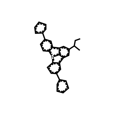 CCC(C)c1cc2c3cc(-c4ccccc4)ccc3n3c4ccc(-c5ccccc5)cc4c(c1)c23